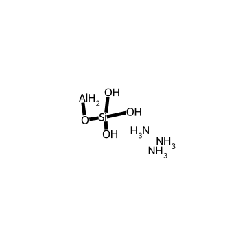 N.N.N.O[Si](O)(O)[O][AlH2]